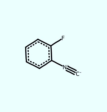 [C-]#[N+]c1ccccc1F